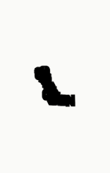 Cc1cn(-c2ccc(N3CC(C)N(C(=O)OC(C)(C)C)C(C)C3)cc2)c(=O)c2cccc(-c3ccc(C#N)cc3)c12